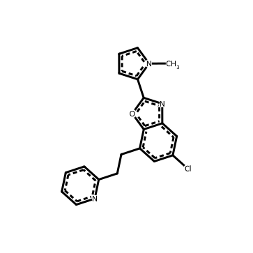 Cn1cccc1-c1nc2cc(Cl)cc(CCc3ccccn3)c2o1